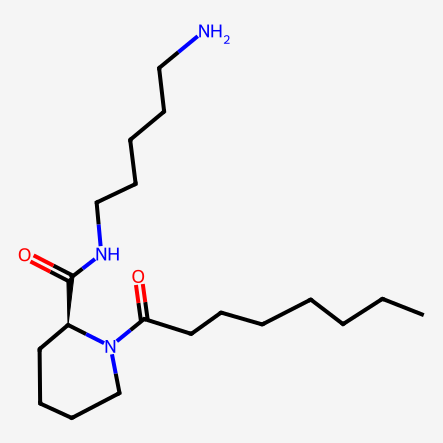 CCCCCCCC(=O)N1CCCC[C@H]1C(=O)NCCCCCN